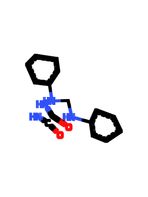 N=C=O.N=C=O.c1ccc(NCNc2ccccc2)cc1